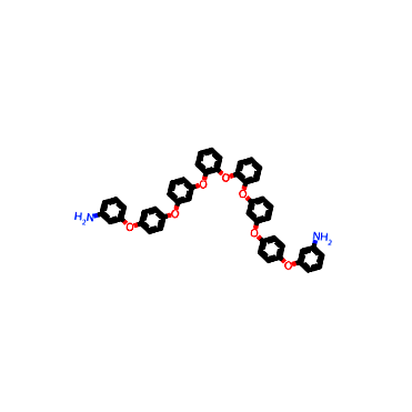 Nc1cccc(Oc2ccc(Oc3cccc(Oc4ccccc4Oc4ccccc4Oc4cccc(Oc5ccc(Oc6cccc(N)c6)cc5)c4)c3)cc2)c1